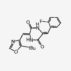 CC(C)(C)c1ocnc1C=c1[nH]c(=O)c(=Cc2ccccc2F)[nH]c1=O